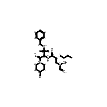 CCCC[C@H](CN(O)C=O)C(=O)NC(C(=O)N1CCC(C)CC1)C(C)(C)SCc1ccccc1